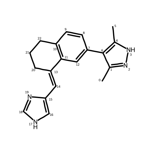 Cc1n[nH]c(C)c1-c1ccc2c(c1)/C(=C/c1c[nH]cn1)CCC2